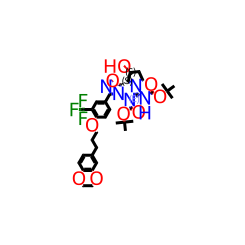 CC(C)(C)OC(=O)/N=C(\NC(=O)OC(C)(C)C)N1CC[C@H](O)[C@H]1c1nc(-c2ccc(OCCCc3ccc4c(c3)OCCO4)c(C(F)(F)F)c2)no1